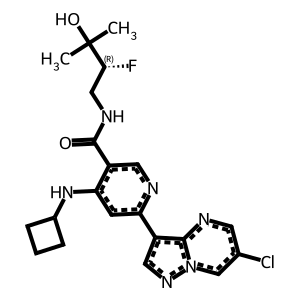 CC(C)(O)[C@H](F)CNC(=O)c1cnc(-c2cnn3cc(Cl)cnc23)cc1NC1CCC1